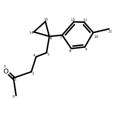 CC(=O)CCCC1(c2ccc(C)cc2)CC1